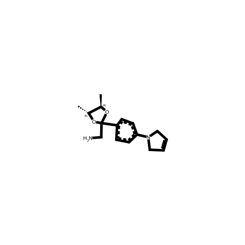 C[C@H]1OC(CN)(c2ccc(N3CC=CC3)cc2)O[C@@H]1C